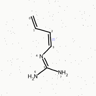 C=C/C=C\N=C(N)N